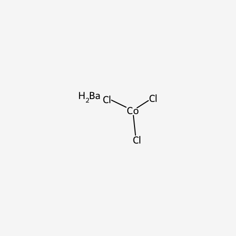 [BaH2].[Cl][Co]([Cl])[Cl]